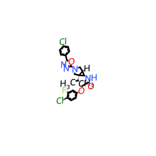 CC(C)[C@]12CN(c3nnc(-c4ccc(Cl)cc4)o3)C[C@H]1[C@@H]2NC(=O)COc1ccc(Cl)c(F)c1